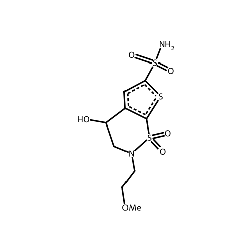 COCCN1CC(O)c2cc(S(N)(=O)=O)sc2S1(=O)=O